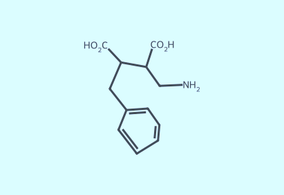 NCC(C(=O)O)C(Cc1ccccc1)C(=O)O